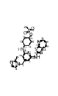 Cc1nccn1Cc1cc(Nc2nc3cccnc3s2)nc(NC2CCC(OS(C)(=O)=O)CC2)c1